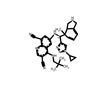 CC(C)(C)CNc1c(C#N)cnc2c(C#N)cc(N[C@H](c3cn(C4CC4)nn3)C3(C)C=CC=C4CNCC43)cc12